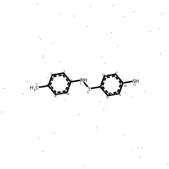 Cc1ccc(NSc2ccc(S)cc2)cc1